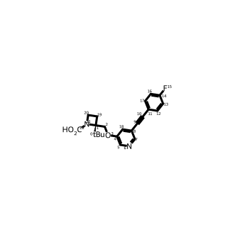 CC(C)(C)[C@]1(COc2cncc(C#Cc3ccc(F)cc3)c2)CCN1C(=O)O